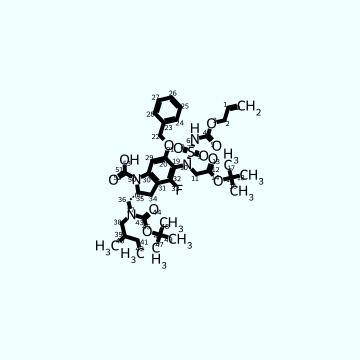 C=CCOC(=O)NS(=O)(=O)N(CC(=O)OC(C)(C)C)c1c(OCc2ccccc2)cc2c(c1F)C[C@H](CN(CC(C)CC)C(=O)OC(C)(C)C)N2C(=O)O